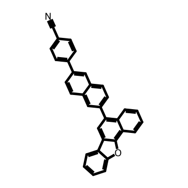 N#Cc1ccc(-c2ccc3cc(-c4cc5c6ccccc6oc5c5ccccc45)ccc3c2)cc1